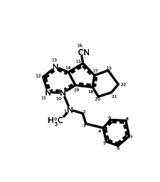 CN(CCc1ccccc1)n1ncnc2c(C#N)c3c(c1-2)CCCC3